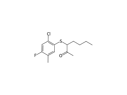 CCCCC(Sc1cc(C)c(F)cc1Cl)C(C)=O